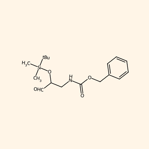 CC(C)(C)[Si](C)(C)OC(C=O)CNC(=O)OCc1ccccc1